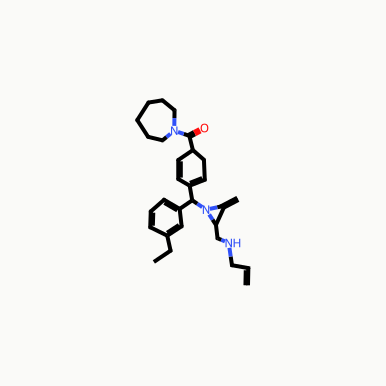 C=CCNCC1C(=C)N1C(C1=CCC(C(=O)N2CCCCCC2)C=C1)c1cccc(CC)c1